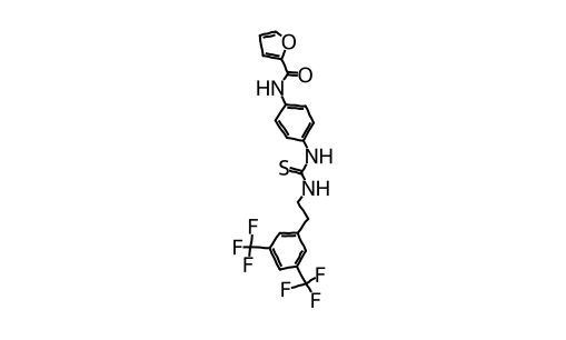 O=C(Nc1ccc(NC(=S)NCCc2cc(C(F)(F)F)cc(C(F)(F)F)c2)cc1)c1ccco1